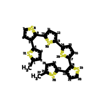 Cc1ccc(-c2ccsc2-c2ccc(-c3ccc(-c4sccc4-c4ccc(C)s4)s3)s2)s1